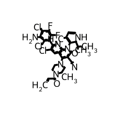 C=CC(=O)N1CCN(c2c(C#N)c(=O)n(C3=C(C)C=CNC3C(C)C)c3nc(-c4c(F)c(F)c(Cl)c(N)c4Cl)c(Cl)cc23)C[C@H]1C